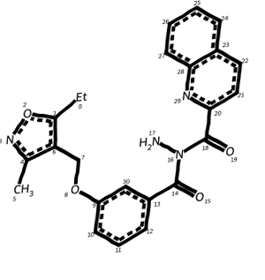 CCc1onc(C)c1COc1cccc(C(=O)N(N)C(=O)c2ccc3ccccc3n2)c1